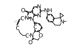 CN1CCc2ccc(Nc3ncc4c(=O)n5n(c4n3)-c3ccc4c(c3)N(CCCC/C=C\C5)C(=O)CO4)cc2C12CC2